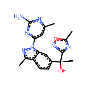 Cc1cc(-n2nc(C)c3ccc([C@@](C)(O)c4noc(C)n4)cc32)nc(N)n1